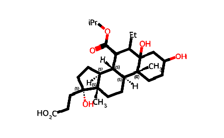 CCC1C(C(=O)OC(C)C)[C@H]2[C@@H]3CC[C@](O)(CCC(=O)O)[C@@]3(C)CC[C@@H]2[C@@]2(C)CCC(O)CC12O